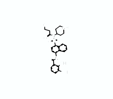 CCCC(=O)N(C1CCNCC1)S(=O)(=O)c1ccc(NC(=O)c2cccc(C)c2C)c2ccccc12